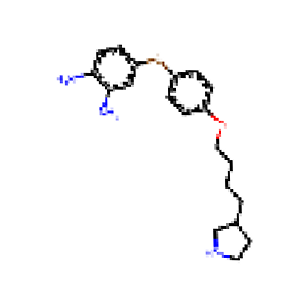 Nc1ccc(Sc2ccc(OCCCCC3CCNC3)cc2)cc1N